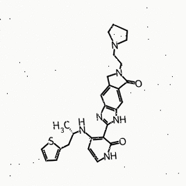 C[C@@H](Cc1cccs1)Nc1cc[nH]c(=O)c1-c1nc2cc3c(cc2[nH]1)C(=O)N(CCN1CCCC1)C3